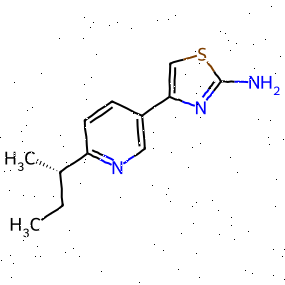 CC[C@H](C)c1ccc(-c2csc(N)n2)cn1